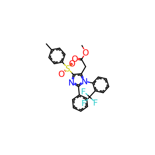 COC(=O)Cc1c(S(=O)(=O)c2ccc(C)cc2)nc(-c2ccccc2)n1-c1ccccc1C(F)(F)F